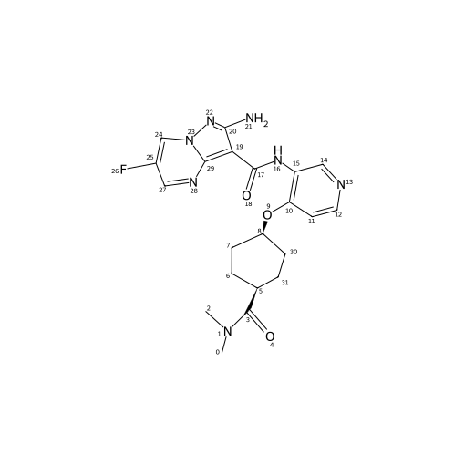 CN(C)C(=O)[C@H]1CC[C@@H](Oc2ccncc2NC(=O)c2c(N)nn3cc(F)cnc23)CC1